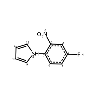 O=[N+]([O-])c1cc(F)ccc1[SH]1C=CC=C1